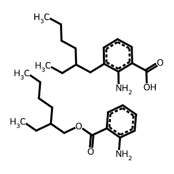 CCCCC(CC)COC(=O)c1ccccc1N.CCCCC(CC)Cc1cccc(C(=O)O)c1N